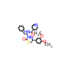 COc1ccc(C2=NN(C(Cc3ccccc3)NC(=O)c3ccncc3)C(=O)SC2)cc1OC